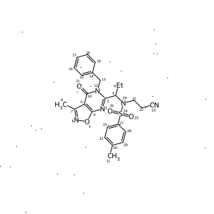 CCC(c1nc2onc(C)c2c(=O)n1Cc1ccccc1)N(CCC#N)S(=O)(=O)c1ccc(C)cc1